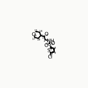 O=C(CNS(=O)(=O)c1ccc(Cl)s1)C1CCOCC1